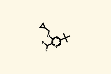 CC(C)(C)c1cnc(C(F)F)c(OCC2CC2)c1